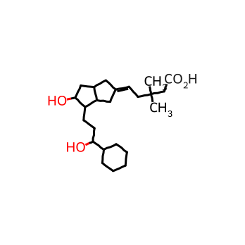 CC(C)(CC=C1CC2CC(O)C(CCC(O)C3CCCCC3)C2C1)CC(=O)O